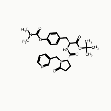 CN(C)C(=O)Oc1ccc(C[C@H](NC(=O)[C@@H]2CCC(=O)N2Cc2cccnc2)C(=O)OC(C)(C)C)cc1